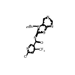 CCCCn1/c(=N/C(=O)c2cnc(Cl)cc2C(F)(F)F)sc2ncncc21